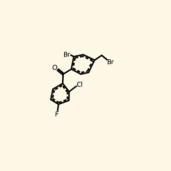 O=C(c1ccc(F)cc1Cl)c1ccc(CBr)cc1Br